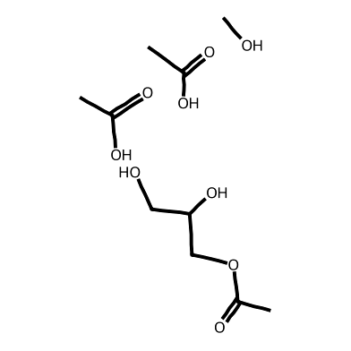 CC(=O)O.CC(=O)O.CC(=O)OCC(O)CO.CO